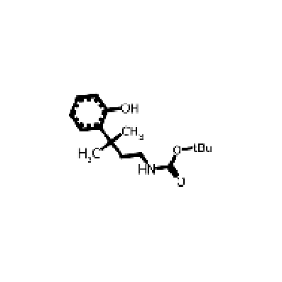 CC(C)(C)OC(=O)NCCC(C)(C)c1ccccc1O